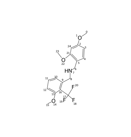 COc1ccc(CNCc2cccc(OC)c2C(F)(F)F)c(OC)c1